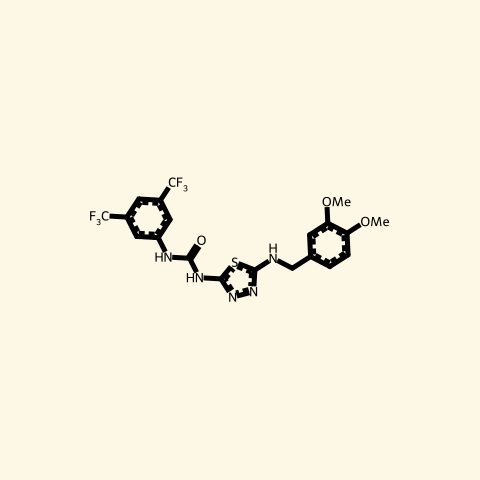 COc1ccc(CNc2nnc(NC(=O)Nc3cc(C(F)(F)F)cc(C(F)(F)F)c3)s2)cc1OC